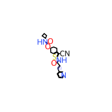 N#Cc1c(NC(=O)/C=C/c2cccnc2)sc2c1CCC(OC(=O)NC1CCC1)C2